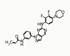 C=CC(=O)Nc1cccc(-n2ncc3cnc(Nc4ccc(N5CCOCC5)c(F)c4F)nc32)c1